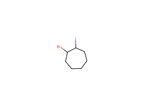 BrC1CCCCCC1I